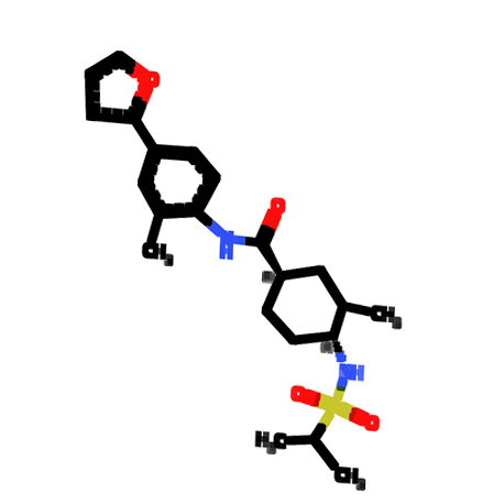 Cc1cc(-c2ccco2)ccc1NC(=O)[C@@H]1CC[C@@H](NS(=O)(=O)C(C)C)C(C)C1